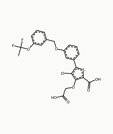 O=C(O)COc1c(C(=O)O)sc(-c2cccc(OCc3cccc(OC(F)(F)F)c3)c2)c1Cl